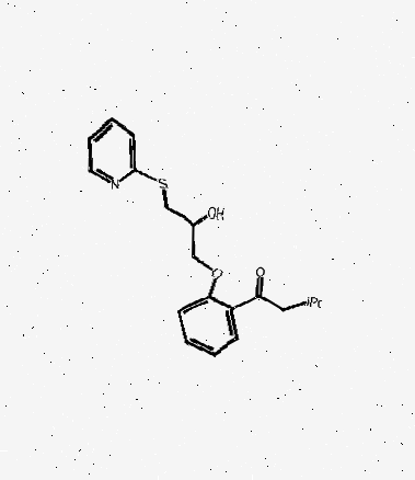 CC(C)CC(=O)c1ccccc1OCC(O)CSc1ccccn1